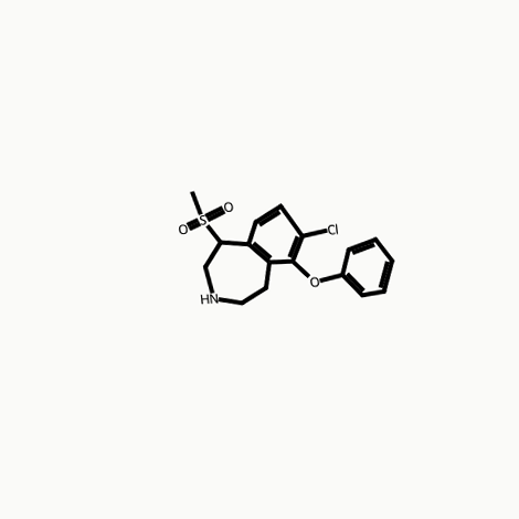 CS(=O)(=O)C1CNCCc2c1ccc(Cl)c2Oc1ccccc1